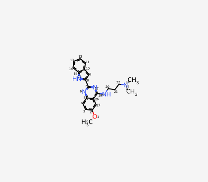 COc1ccc2nc(-c3cc4ccccc4[nH]3)nc(NCCCN(C)C)c2c1